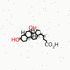 C[C@H](CCC(=O)O)[C@H]1CCC2[C@@H]3[C@H](O)C[C@@H]4C[C@H](O)CC[C@]4(C)[C@H]3CC[C@@]21C